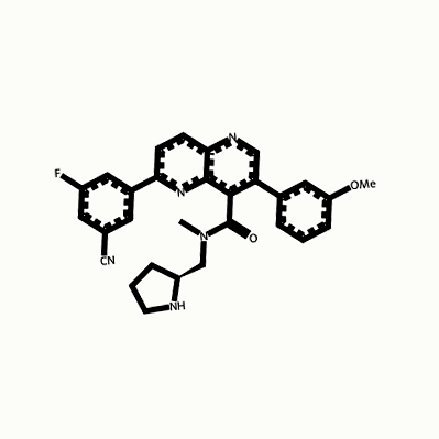 COc1cccc(-c2cnc3ccc(-c4cc(F)cc(C#N)c4)nc3c2C(=O)N(C)C[C@@H]2CCCN2)c1